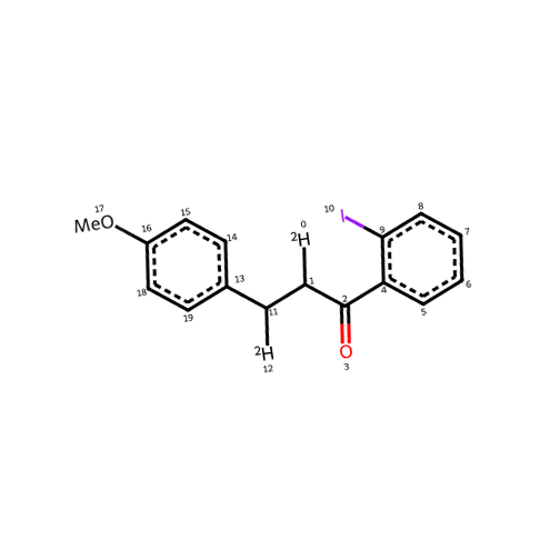 [2H]C(C(=O)c1ccccc1I)C([2H])c1ccc(OC)cc1